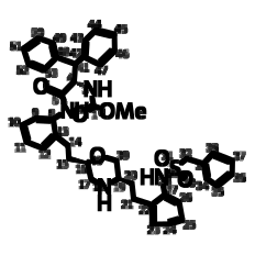 COC(=O)N[C@H](C(=O)Nc1ccccc1CC[C@@H]1CN[C@H](CCc2ccccc2NS(=O)(=O)Cc2ccccc2)CO1)C(c1ccccc1)c1ccccc1